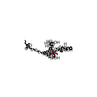 CCCC1C2C(=O)N(CCOCCOCCOCCn3cc(CC(OC(=O)N(C)[C@H](C(=O)N[C@H](C(=O)N(C)[C@@H](C(C)CC)[C@@H](CC(=O)N4CCC[C@H]4[C@H](OC)[C@@H](C)C(=O)NC(Cc4ccccc4)C(=O)O)OC)C(C)C)C(C)C)c4ccc(O[C@@H]5O[C@H](CO)[C@H](O)[C@H](O)[C@H]5O)c5cc(CCCC(=O)O)oc45)nn3)C(=O)C12CC